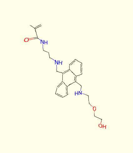 C=C(C)C(=O)NCCCNCc1c2ccccc2c(CNCCOCCO)c2ccccc12